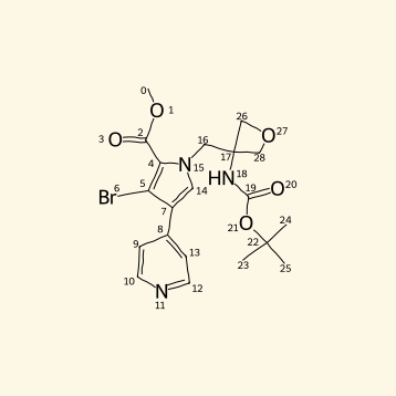 COC(=O)c1c(Br)c(-c2ccncc2)cn1CC1(NC(=O)OC(C)(C)C)COC1